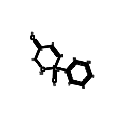 O=C1C=CP(=O)(c2ccccc2)OC1